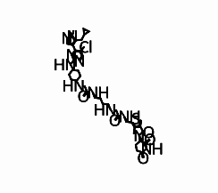 Cn1ncc(-c2nc(N[C@H]3CC[C@H](NCC(=O)NCCCCNCC(=O)NCc4scc5c4CN(C4CCC(=O)NC4=O)C5=O)CC3)ncc2Cl)c1CC1CC1